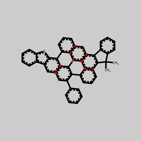 CC1(C)c2ccccc2-c2cc(N(c3ccccc3-c3cccc4c3sc3ccccc34)c3cccc(-c4ccccc4)c3-c3ccccc3-c3ccccc3)ccc21